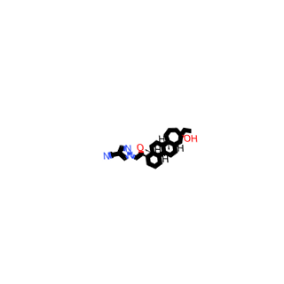 CC[C@@]1(O)CCC[C@@]2(C)[C@H](CC[C@@H]3[C@@H]2CC[C@]2(C)[C@H](C(=O)Cn4cc(C#N)cn4)CCC[C@@H]32)C1